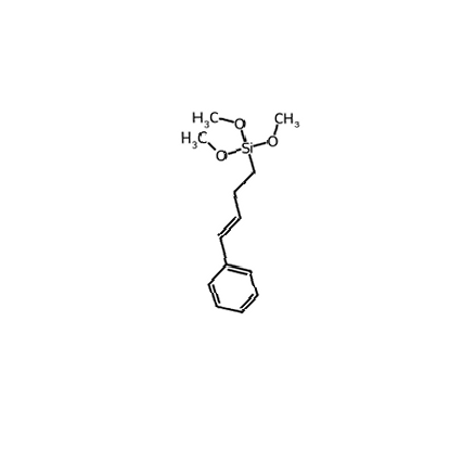 CO[Si](CC/C=C/c1ccccc1)(OC)OC